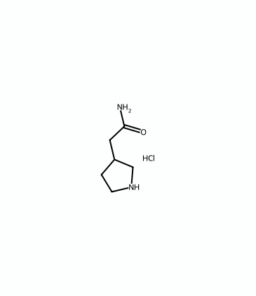 Cl.NC(=O)CC1CCNC1